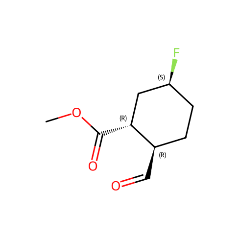 COC(=O)[C@@H]1C[C@@H](F)CC[C@H]1C=O